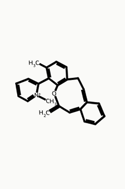 C=C1/C=c2/cccc/c2=C/Cc2ccc(C)c(-c3cccc[n+]3C)c2O1